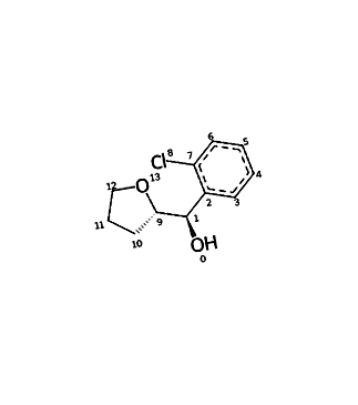 O[C@H](c1ccccc1Cl)[C@@H]1CCCO1